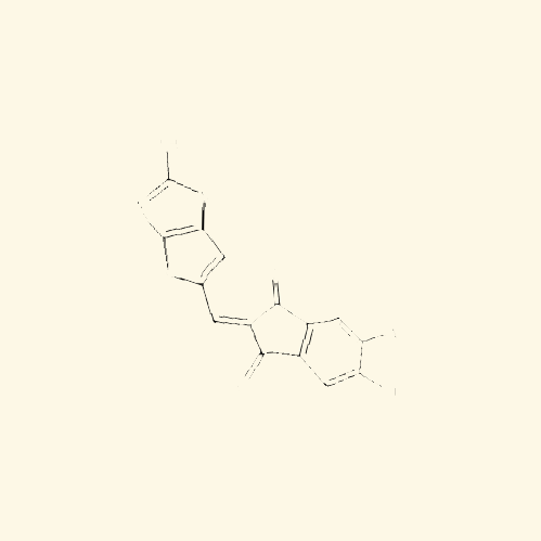 Cc1nc2sc(C=C3C(=O)c4cc(Cl)c(Cl)cc4C3=O)cc2s1